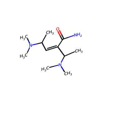 CC(C=C(C(N)=O)C(C)N(C)C)N(C)C